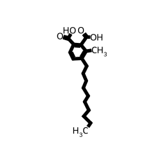 CCCCCCCCCCc1ccc(C(=O)O)c(C(=O)O)c1C